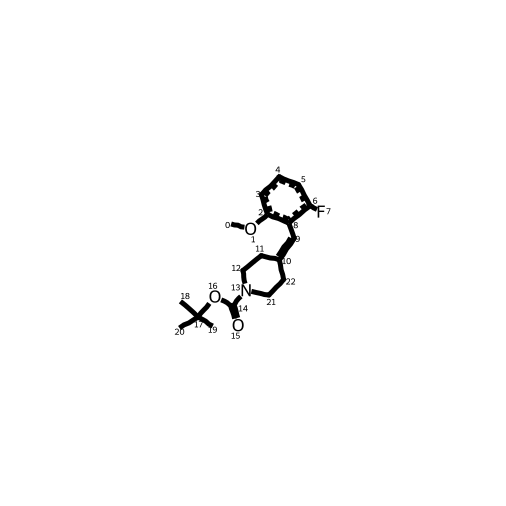 COc1cccc(F)c1C=C1CCN(C(=O)OC(C)(C)C)CC1